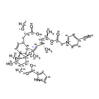 CO[C@H]1CC2C=C[C@@H]3C[C@]2(O[C@H]3[C@H](OC(=O)c2ccc[nH]2)[C@H](C)[C@H](C)O)/C(C)=C/[C@@H](C)[C@@H]([C@@H](C)OC(=O)C[n+]2ccc(C#N)cc2)OC1=O